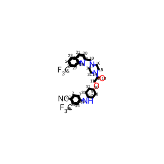 N#Cc1ccc(NC2CCC(OCC(=O)N3CCN(Cc4ccc5ccc(C(F)(F)F)cc5n4)CC3)CC2)cc1C(F)(F)F